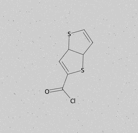 O=C(Cl)C1=CC2SC=CC2S1